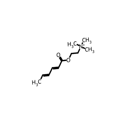 CC=CC=CC(=O)OCC[N+](C)(C)C